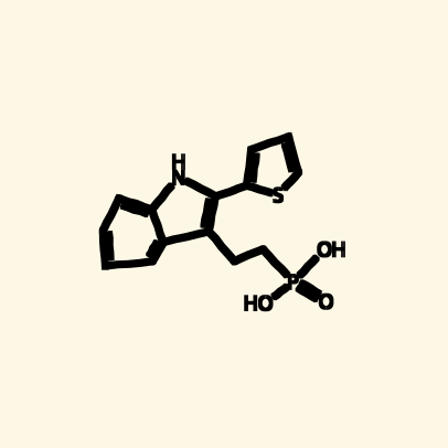 O=P(O)(O)CCc1c(-c2cccs2)[nH]c2ccccc12